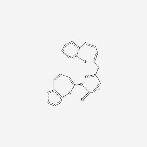 O=C(/C=C\C(=O)OC1=CC=Cc2ccccc2S1)OC1=CC=Cc2ccccc2S1